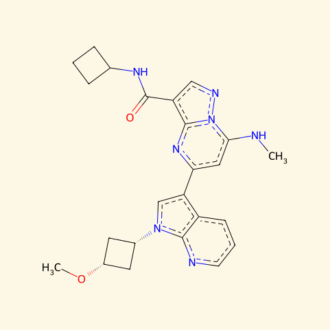 CNc1cc(-c2cn([C@H]3C[C@@H](OC)C3)c3ncccc23)nc2c(C(=O)NC3CCC3)cnn12